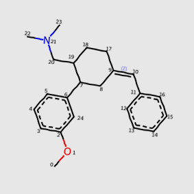 COc1cccc(C2C/C(=C\c3ccccc3)CCC2CN(C)C)c1